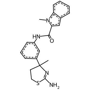 Cn1c(C(=O)Nc2cccc(C3(C)CCSC(N)=N3)c2)cc2ccccc21